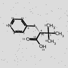 CC(C)(C)[C@@H](Cc1ccncc1)C(=O)O